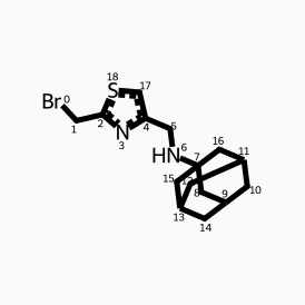 BrCc1nc(CNC23CC4CC(CC(C4)C2)C3)cs1